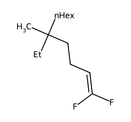 CCCCCCC(C)(CC)CCC=C(F)F